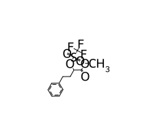 COC(=O)C(CCc1ccccc1)OS(=O)(=O)C(F)(F)F